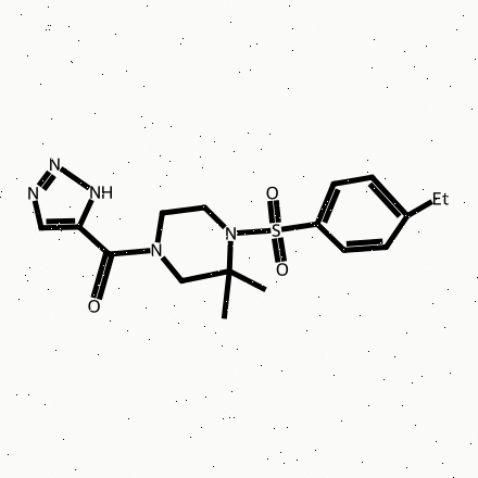 CCc1ccc(S(=O)(=O)N2CCN(C(=O)c3cnn[nH]3)CC2(C)C)cc1